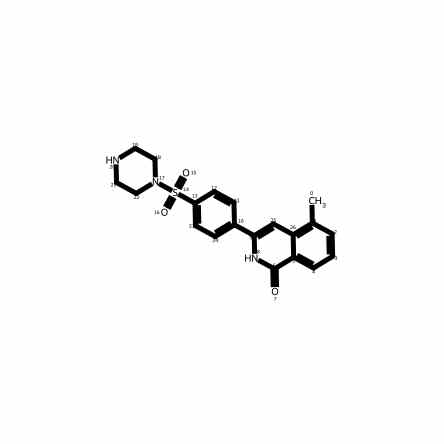 Cc1cccc2c(=O)[nH]c(-c3ccc(S(=O)(=O)N4CCNCC4)cc3)cc12